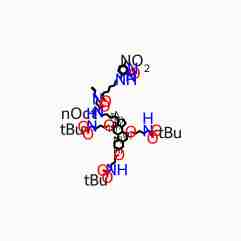 C=CCN(CC(=O)N(CCCCCCCC)CCC[C@@H](C)[C@H]1CCC2C3C(C[C@H](OCCCNC(=O)OC(C)(C)C)[C@@]21C)[C@@]1(C)CC[C@@H](OCCCNC(=O)OC(C)(C)C)CC1C[C@H]3OCCCNC(=O)OC(C)(C)C)C(=O)CCCCCNc1ccc([N+](=O)[O-])c2nonc12